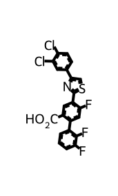 O=C(O)c1cc(-c2nc(-c3ccc(Cl)c(Cl)c3)cs2)c(F)cc1-c1cccc(F)c1F